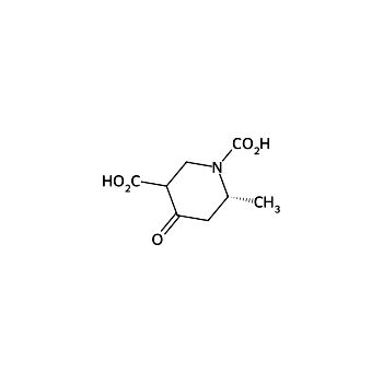 C[C@@H]1CC(=O)C(C(=O)O)CN1C(=O)O